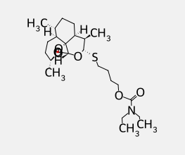 CCN(CC)C(=O)OCCCCS[C@@H]1O[C@@H]2O[C@]3(C)CC[C@H]4[C@H](C)CC[C@@H]([C@H]1C)[C@@]24OO3